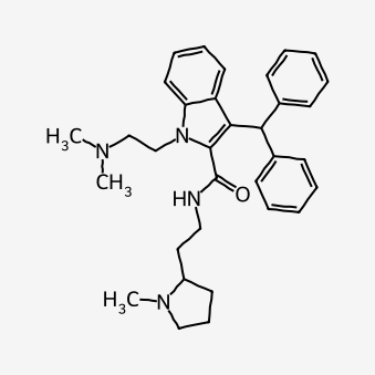 CN(C)CCn1c(C(=O)NCCC2CCCN2C)c(C(c2ccccc2)c2ccccc2)c2ccccc21